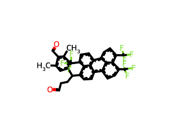 Cc1cc(C(CCC=O)c2ccc3c4ccc(C(F)(F)F)c5c(C(F)(F)F)ccc(c6ccc(C(F)(F)F)c2c36)c54)cc(C)c1C=O